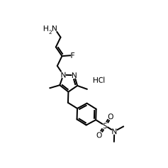 Cc1nn(C/C(F)=C/CN)c(C)c1Cc1ccc(S(=O)(=O)N(C)C)cc1.Cl